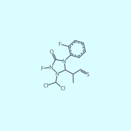 CC(C=S)C1N(c2ccccc2F)C(=O)N(F)N1C(Cl)Cl